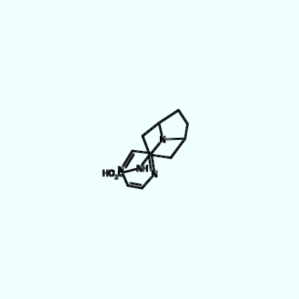 O=C(O)NC1CC2CCC(C1)N2c1cnccn1